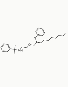 CCCCCCCCC(COCCNC(C)(C)c1ccccc1)Oc1ccccc1